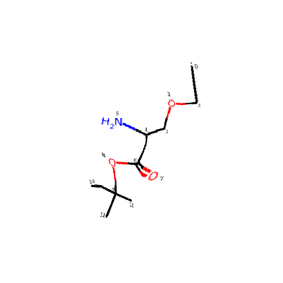 [CH2]COCC(N)C(=O)OC(C)(C)C